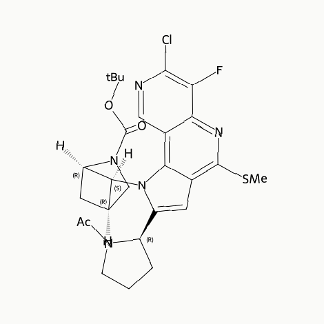 CSc1nc2c(F)c(Cl)ncc2c2c1cc([C@H]1CCCN1C(C)=O)n2[C@H]1[C@@H]2C[C@H]1N(C(=O)OC(C)(C)C)C2